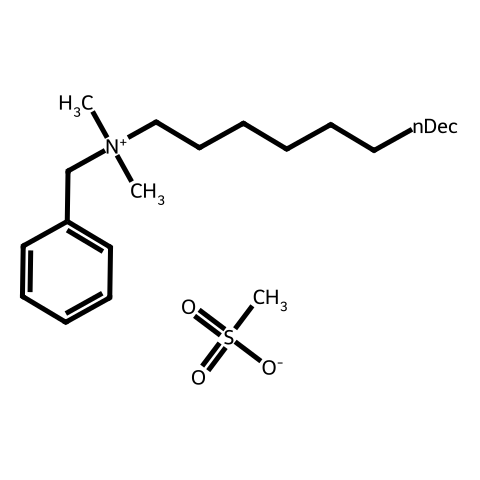 CCCCCCCCCCCCCCCC[N+](C)(C)Cc1ccccc1.CS(=O)(=O)[O-]